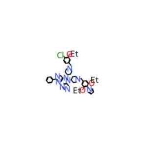 CCOc1cc(CN2CCC(N(c3cnc(-c4ccccc4)nc3)N(c3cncnc3)C3CCN(Cc4cc(OCC)c(-n5cccc5)c(OCC)c4)CC3)CC2)ccc1Cl